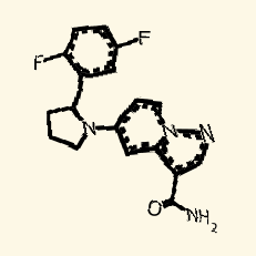 NC(=O)c1cnn2ccc(N3CCCC3c3cc(F)ccc3F)cc12